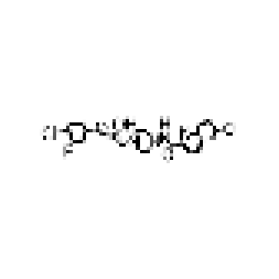 O=C(NN1CCN(C[C@@H](O)COc2ccc(Cl)c(F)c2)CC1)c1ccc2cc(Cl)ccc2n1